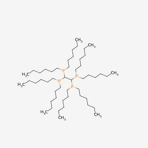 CCCCCCP(CCCCCC)C(C(P(CCCCCC)CCCCCC)P(CCCCCC)CCCCCC)P(CCCCCC)CCCCCC